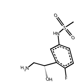 CS(=O)(=O)Nc1ccc(F)c([C@H](O)CN)c1